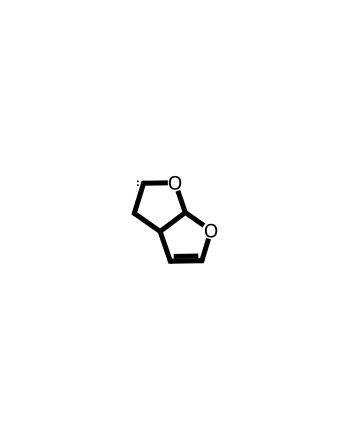 [C]1CC2C=COC2O1